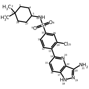 CC1(C)CCC(NS(=O)(=O)c2ccc(-c3ccc4[nH]nc(N)c4n3)c(Cl)c2)CC1